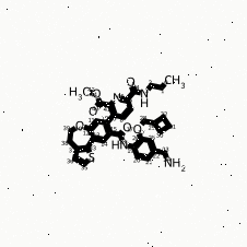 CCCNC(=O)c1ccc(-c2cc3c(cc2C(=O)Nc2ccc(CN)cc2OCC2CCC2)-c2sccc2CCO3)c(C(=O)OC)n1